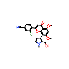 COc1cc(OC)c2c(=O)cc(-c3ccc(C#N)cc3Cl)oc2c1[C@H]1CCN(C)[C@@H]1CO